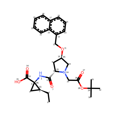 CC[C@H]1C[C@]1(NC(=O)[C@@H]1C[C@@H](OCc2cccc3ccccc23)CN1CC(=O)OC(C)(C)C)C(=O)O